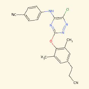 Cc1cc(CCC#N)cc(C)c1Oc1nnc(Cl)c(Nc2ccc(C#N)cc2)n1